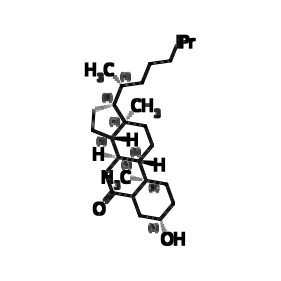 CC(C)CCC[C@@H](C)[C@H]1CC[C@H]2[C@@H]3CC(=O)C4C[C@@H](O)CC[C@]4(C)[C@H]3CC[C@]12C